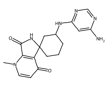 Cn1ccc(=O)c2c1C(=O)NC21CCCC(Nc2cc(N)ncn2)C1